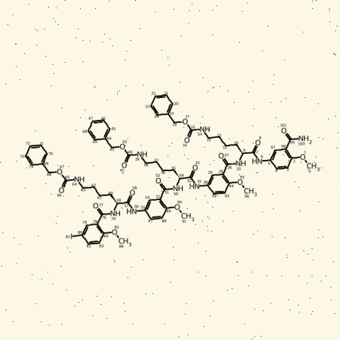 COc1ccc(NC(=O)[C@H](CCCCNC(=O)OCc2ccccc2)NC(=O)c2cc(NC(=O)[C@H](CCCCNC(=O)OCc3ccccc3)NC(=O)c3cc(NC(=O)[C@H](CCCCNC(=O)OCc4ccccc4)NC(=O)c4cc(I)ccc4OC)ccc3OC)ccc2OC)cc1C(N)=O